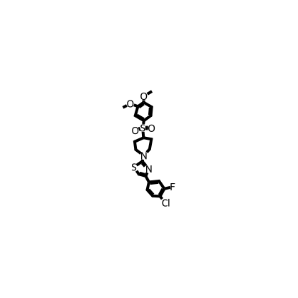 COc1ccc(S(=O)(=O)C2CCN(c3nc(-c4ccc(Cl)c(F)c4)cs3)CC2)cc1OC